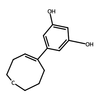 Oc1cc(O)cc(/C2=C/CCCCCC2)c1